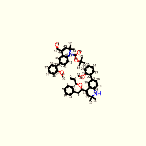 C=CCOC(Cc1ccccc1)C1=CC(C)(C)Nc2ccc(-c3ccccc3OC)cc21.COc1ccccc1-c1ccc2c(c1)C(C=O)=CC(C)(C)N2C(=O)OC(C)(C)C